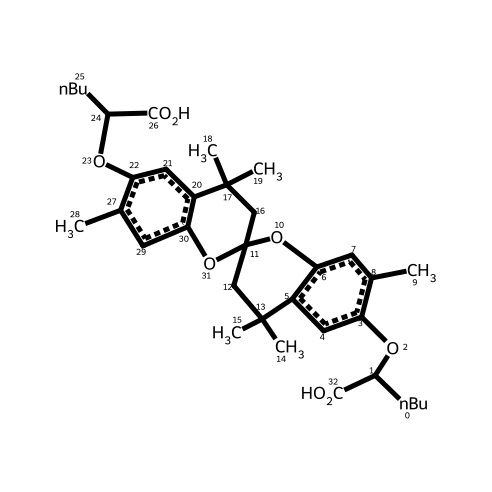 CCCCC(Oc1cc2c(cc1C)OC1(CC2(C)C)CC(C)(C)c2cc(OC(CCCC)C(=O)O)c(C)cc2O1)C(=O)O